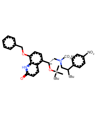 CC(C)(C)C(CN(C[C@H](O[Si](C)(C)C(C)(C)C)c1ccc(OCc2ccccc2)c2[nH]c(=O)ccc12)C(=O)O)c1ccc([N+](=O)[O-])cc1